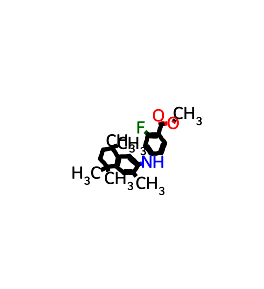 COC(=O)c1ccc(Nc2cc3c(cc2C)C(C)(C)CCC3(C)C)cc1F